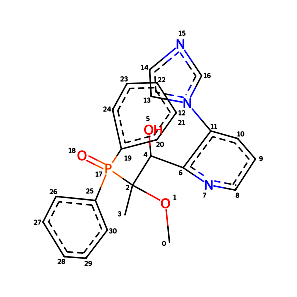 COC(C)(C(O)c1ncccc1-n1ccnc1)P(=O)(c1ccccc1)c1ccccc1